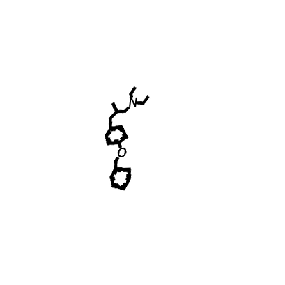 CCN(CC)CC(C)Cc1ccc(OCc2ccccc2)cc1